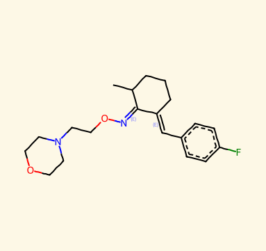 CC1CCCC(=C\c2ccc(F)cc2)/C1=N/OCCN1CCOCC1